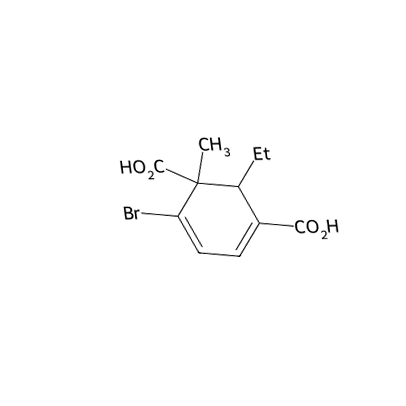 CCC1C(C(=O)O)=CC=C(Br)C1(C)C(=O)O